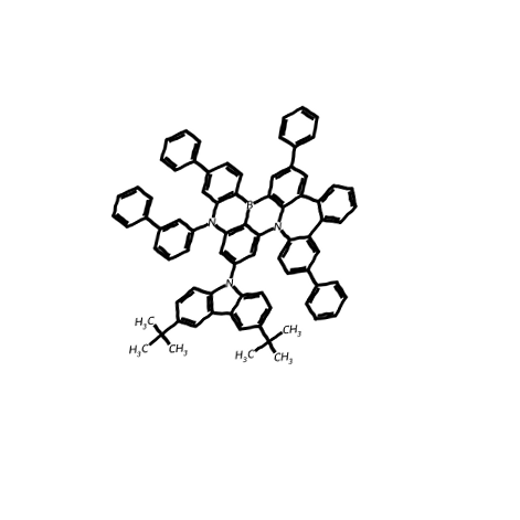 CC(C)(C)c1ccc2c(c1)c1cc(C(C)(C)C)ccc1n2-c1cc2c3c(c1)N1c4ccc(-c5ccccc5)cc4-c4ccccc4-c4cc(-c5ccccc5)cc(c41)B3c1ccc(-c3ccccc3)cc1N2c1cccc(-c2ccccc2)c1